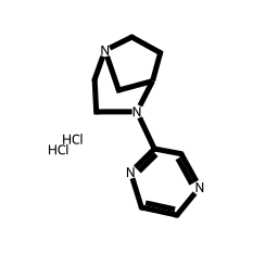 Cl.Cl.c1cnc(N2CCN3CCC2C3)cn1